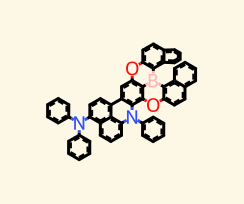 c1ccc(N(c2ccccc2)c2ccc3c4c(cccc24)N(c2ccccc2)c2c-3cc3c4c2Oc2ccc5ccccc5c2B4c2c(ccc4ccccc24)O3)cc1